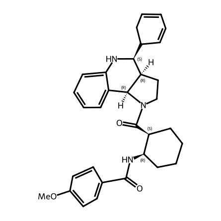 COc1ccc(C(=O)N[C@@H]2CCCC[C@@H]2C(=O)N2CC[C@@H]3[C@H](C4C=CC=CC4)Nc4ccccc4[C@@H]32)cc1